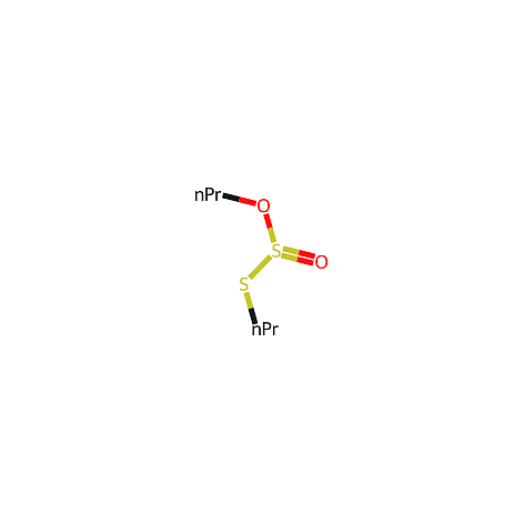 CCCOS(=O)SCCC